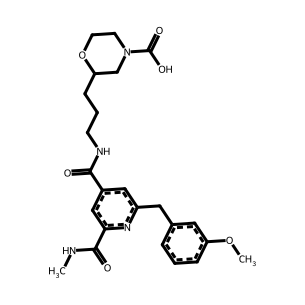 CNC(=O)c1cc(C(=O)NCCCC2CN(C(=O)O)CCO2)cc(Cc2cccc(OC)c2)n1